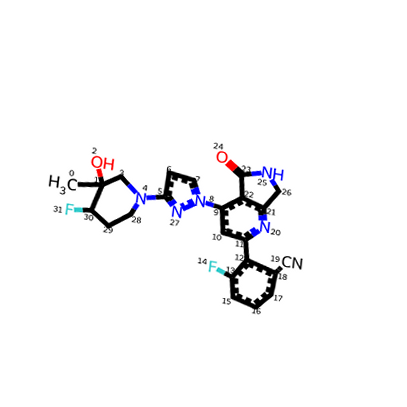 CC1(O)CN(c2ccn(-c3cc(-c4c(F)cccc4C#N)nc4c3C(=O)NC4)n2)CCC1F